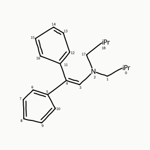 CC(C)CN(C=C(c1ccccc1)c1ccccc1)CC(C)C